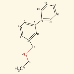 CCOCc1cccc(-c2ccccc2)c1